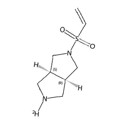 [2H]N1C[C@@H]2CN(S(=O)(=O)C=C)C[C@@H]2C1